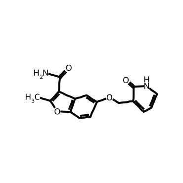 Cc1oc2ccc(OCc3ccc[nH]c3=O)cc2c1C(N)=O